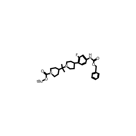 CC(C)(C)OC(=O)N1CCC(C(C)(C)N2CCC(c3ccc(NC(=O)OCc4ccccc4)cc3F)CC2)CC1